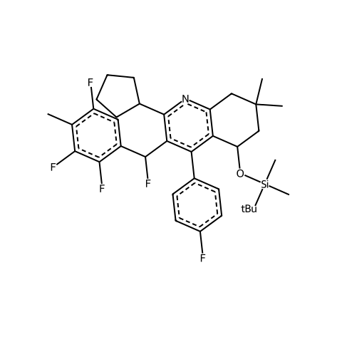 Cc1c(F)cc(C(F)c2c(C3CCCC3)nc3c(c2-c2ccc(F)cc2)C(O[Si](C)(C)C(C)(C)C)CC(C)(C)C3)c(F)c1F